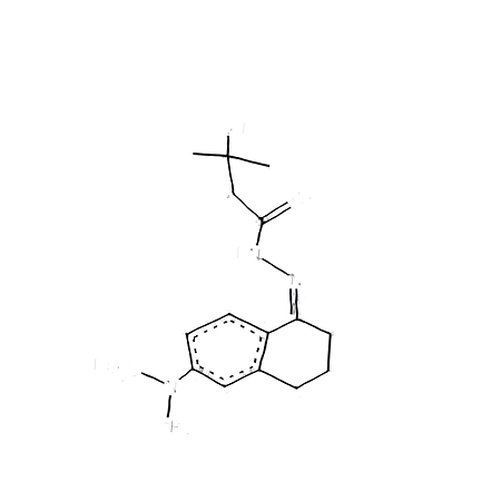 CC(C)(S)CC(=O)N/N=C1/CCCc2cc(N(C(=O)O)C(C)(C)C)ccc21